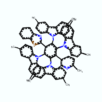 Cc1ccc(-c2c(-n3c4ccc(C#N)cc4c4cc(C#N)ccc43)c(-n3c4ccc(C#N)cc4c4cc(C#N)ccc43)c(-c3nc4ccccc4s3)c(-n3c4ccc(C#N)cc4c4cc(C#N)ccc43)c2-n2c3ccc(C#N)cc3c3cc(C#N)ccc32)c(C)n1